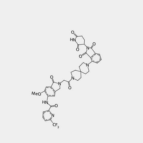 COc1cc2c(cc1NC(=O)c1cccc(C(F)(F)F)n1)CN(CC(=O)N1CCC3(CC1)CCN(c1cccc4c1C(=O)N(C1CCC(=O)NC1=O)C4=O)CC3)C2=O